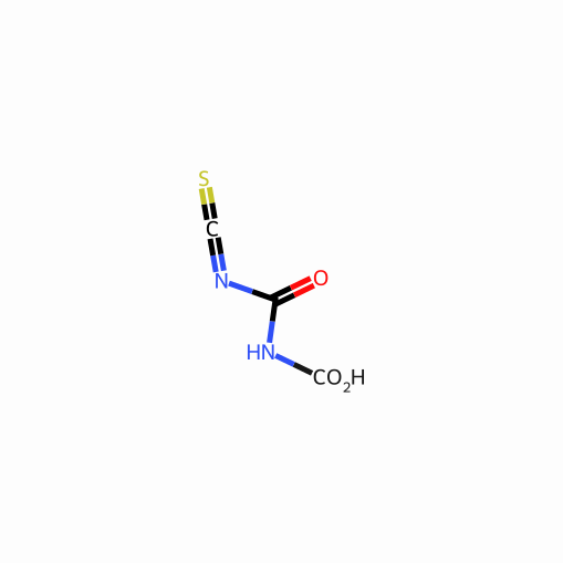 O=C(O)NC(=O)N=C=S